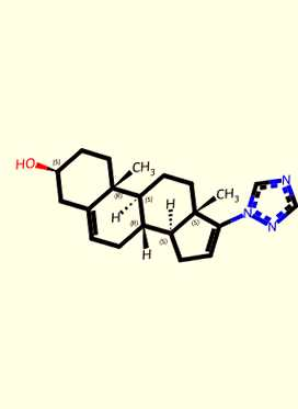 C[C@]12CC[C@H](O)CC1=CC[C@@H]1[C@@H]2CC[C@]2(C)C(n3cncn3)=CC[C@@H]12